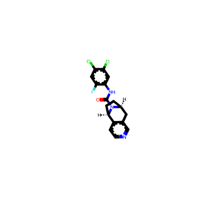 O=C(Nc1cc(Cl)c(Cl)cc1F)N1[C@H]2CC[C@@H]1c1ccncc1C2